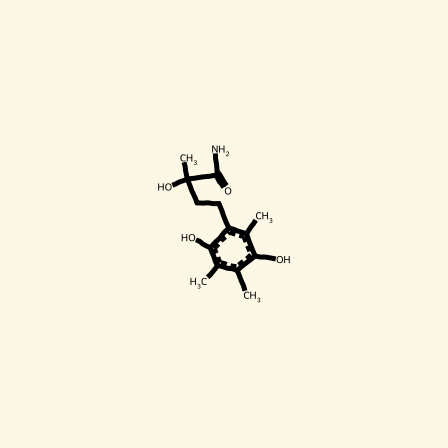 Cc1c(C)c(O)c(CCC(C)(O)C(N)=O)c(C)c1O